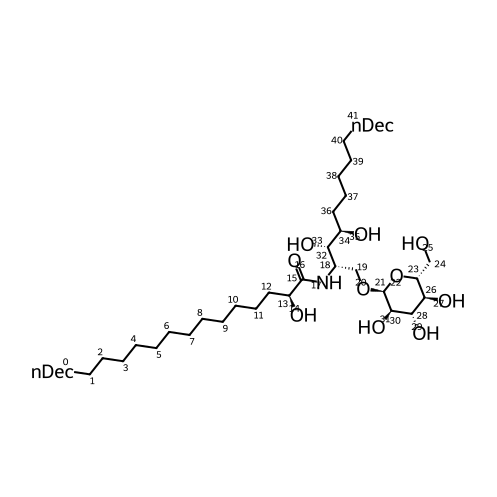 CCCCCCCCCCCCCCCCCCCCCC[C@H](O)C(=O)N[C@@H](CO[C@H]1O[C@H](CO)[C@@H](O)[C@H](O)[C@H]1O)[C@H](O)[C@H](O)CCCCCCCCCCCCCCC